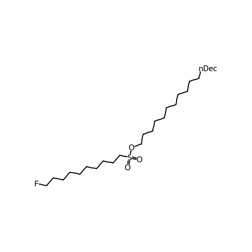 CCCCCCCCCCCCCCCCCCCCCOS(=O)(=O)CCCCCCCCCCF